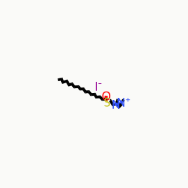 CCCCCCCCCCCCCCCCCC(=O)SCCn1cc[n+](C)c1.[I-]